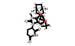 Cn1c(=O)n(C2CCC(=O)NC2=O)c2cccc(N3[C@@H]4CC[C@H]3CN(C(=O)OC(C)(C)C)C4)c21